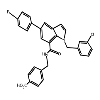 O=C(O)c1ccc(CNC(=O)c2cc(-c3ccc(F)cc3)cc3ccn(Cc4cccc(Cl)c4)c23)cc1